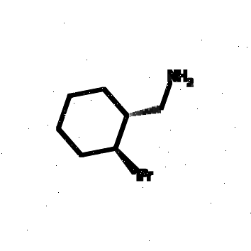 CC(C)[C@H]1CCCC[C@@H]1CN